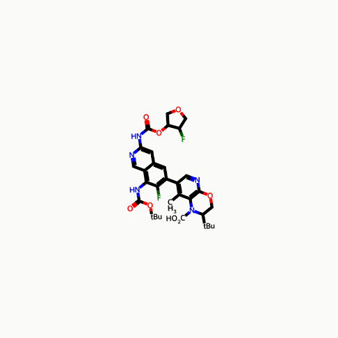 Cc1c(-c2cc3cc(NC(=O)OC4COCC4F)ncc3c(NC(=O)OC(C)(C)C)c2F)cnc2c1N(C(=O)O)C(C(C)(C)C)CO2